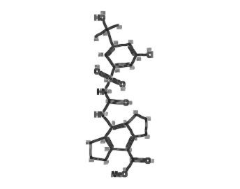 COC(=O)c1c2c(c(NC(=O)NS(=O)(=O)c3cc(Cl)cc(C(C)(C)O)c3)c3c1CCC3)CCC2